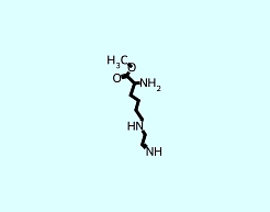 COC(=O)C(N)CCCCNCC=N